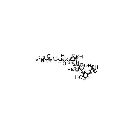 CCCCNC(=O)CCCCCNC(=O)CCc1ccc(O)c(CN(CCN(CC(=O)O)Cc2nc(CCC(=O)O)ccc2O)CC(=O)O)c1